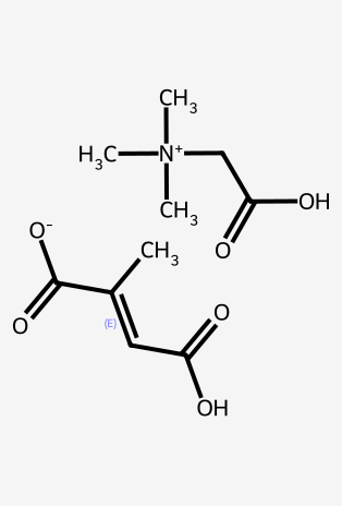 C/C(=C\C(=O)O)C(=O)[O-].C[N+](C)(C)CC(=O)O